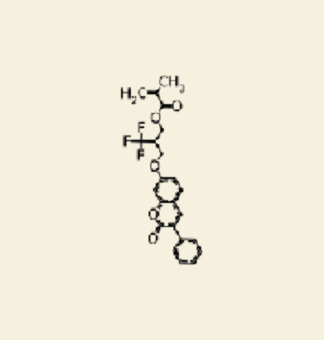 C=C(C)C(=O)OCC(COc1ccc2cc(-c3ccccc3)c(=O)oc2c1)C(F)(F)F